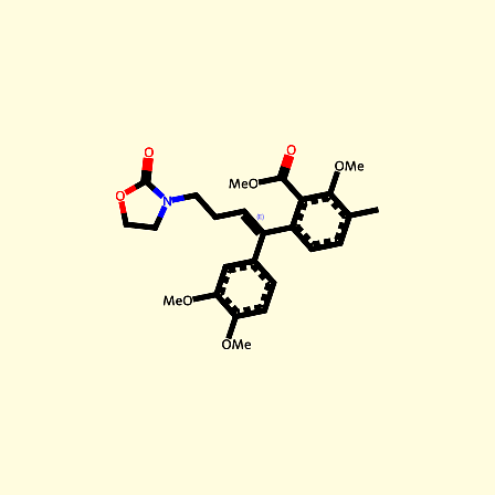 COC(=O)c1c(/C(=C/CCN2CCOC2=O)c2ccc(OC)c(OC)c2)ccc(C)c1OC